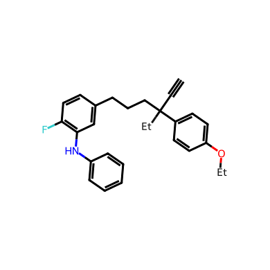 C#CC(CC)(CCCc1ccc(F)c(Nc2ccccc2)c1)c1ccc(OCC)cc1